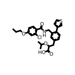 CCCOc1ccc(C(=O)NCc2cc(CC(OC(C)C)C(=O)O)ccc2-c2ccsc2)c(Cl)c1